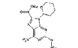 CCCCOc1nc(N)c2nc(C(=O)OC)n(C3CCCCO3)c2n1